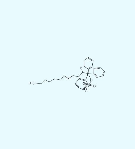 CCCCCCCCCCC(F)P(OS(C)(=O)=O)(c1ccccc1)(c1ccccc1)c1ccccc1